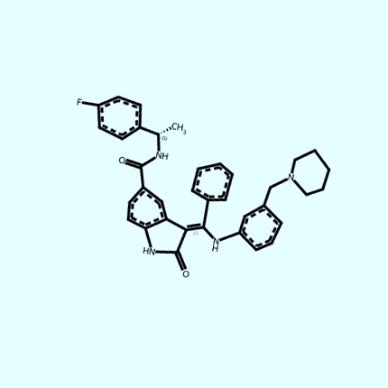 C[C@H](NC(=O)c1ccc2c(c1)/C(=C(/Nc1cccc(CN3CCCCC3)c1)c1ccccc1)C(=O)N2)c1ccc(F)cc1